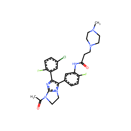 CC(=O)N1CCn2c1nc(-c1cc(Cl)ccc1F)c2-c1ccc(F)c(NC(=O)CCN2CCN(C)CC2)c1